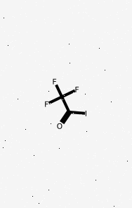 O=C(I)C(F)(F)F